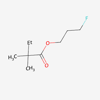 CCC(C)(C)C(=O)OCCCF